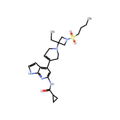 N#CCCCS(=O)(=O)N1CC(CC#N)(N2CC=C(c3cc(NC(=O)C4CC4)nc4[nH]ccc34)CC2)C1